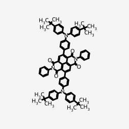 CC(C)(C)c1ccc(N(c2ccc(-c3cc4c5c(c(-c6ccc(N(c7ccc(C(C)(C)C)cc7)c7ccc(C(C)(C)C)cc7)cc6)cc6c5c3C(=O)N(c3ccccc3)C6=O)C(=O)N(c3ccccc3)C4=O)cc2)c2ccc(C(C)(C)C)cc2)cc1